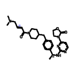 C[C@H](Nc1nccc(N2CCOC2=O)n1)c1ccc(CC2CCN(C(=O)/C=C/CN(C)C)CC2)cc1